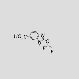 Cn1c(OC(F)CF)nc2ccc(C(=O)O)cc21